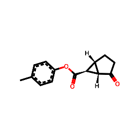 Cc1ccc(OC(=O)[C@H]2[C@@H]3CCC(=O)[C@@H]32)cc1